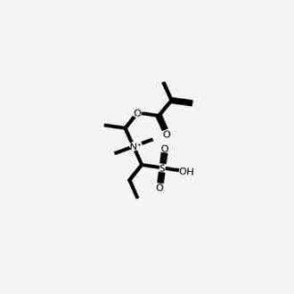 C=C(C)C(=O)OC(C)[N+](C)(C)C(CC)S(=O)(=O)O